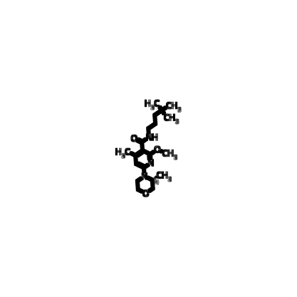 COc1nc(N2CCOC[C@H]2C)cc(C)c1C(=O)NCCCC(C)(C)C